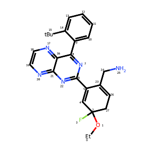 CCOC1(F)C=C(c2nc(-c3ccccc3C(C)(C)C)c3nccnc3n2)C(CN)=CC1